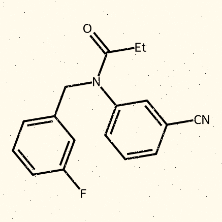 CCC(=O)N(Cc1cccc(F)c1)c1cccc(C#N)c1